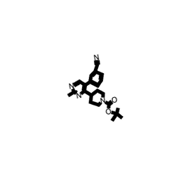 Cc1ncc(-c2cccc(C#N)c2)c(C2CCN(C(=O)OC(C)(C)C)CC2)n1